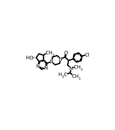 CC1C[C@@H](O)c2ncnc(N3CCN(C(=O)C(CN(C)C(C)C)c4ccc(Cl)cc4)CC3)c21